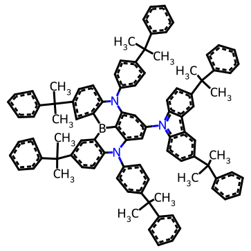 CC(C)(c1ccccc1)c1ccc(N2c3ccc(C(C)(C)c4ccccc4)cc3B3c4cc(C(C)(C)c5ccccc5)ccc4N(c4ccc(C(C)(C)c5ccccc5)cc4)c4cc(-n5c6ccc(C(C)(C)c7ccccc7)cc6c6cc(C(C)(C)c7ccccc7)ccc65)cc2c43)cc1